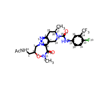 CC(=O)NCC1Cn2nc3c(c2C(=O)N(C)O1)CN(C(=O)Nc1ccc(F)c(C(F)(F)F)c1)[C@H](C)C3